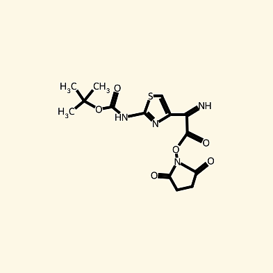 CC(C)(C)OC(=O)Nc1nc(C(=N)C(=O)ON2C(=O)CCC2=O)cs1